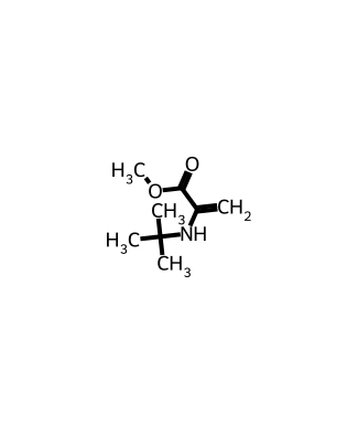 C=C(NC(C)(C)C)C(=O)OC